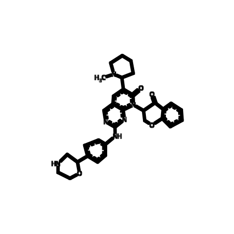 CN1CCCCC1c1cc2cnc(Nc3ccc(C4CNCCO4)cc3)nc2n(C2COc3ccccc3C2=O)c1=O